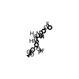 Cc1cc(Oc2ccccc2F)ccc1-n1ncc(C(=O)c2cc3cc(OCC(F)F)c(C4CCN(S(=O)(=O)C5CC5)CC4)cc3[nH]2)c1N